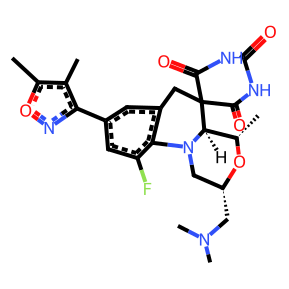 Cc1onc(-c2cc(F)c3c(c2)CC2(C(=O)NC(=O)NC2=O)[C@H]2[C@H](C)O[C@H](CN(C)C)CN32)c1C